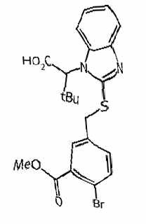 COC(=O)c1cc(CSc2nc3ccccc3n2C(C(=O)O)C(C)(C)C)ccc1Br